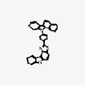 C1=Cc2c(n(-c3ccc(-c4nc5c(ccc6oc7ccccc7c65)s4)cc3)c3c2ccc2ccccc23)CC1